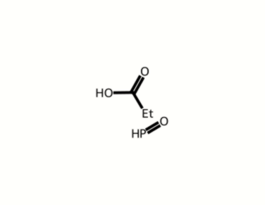 CCC(=O)O.O=P